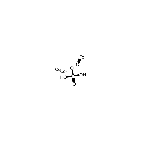 O=P(O)(O)O.[Co].[Co].[O]=[Fe]